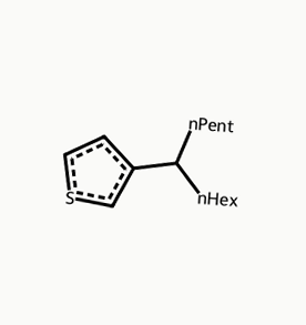 CCCCCCC(CCCCC)c1ccsc1